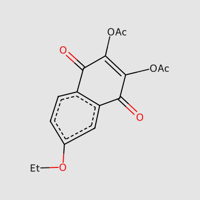 CCOc1ccc2c(c1)C(=O)C(OC(C)=O)=C(OC(C)=O)C2=O